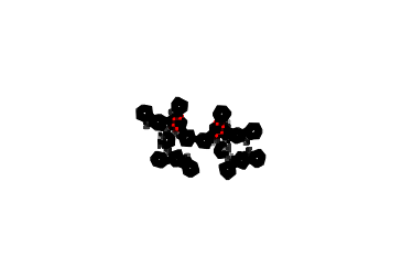 c1ccc2c(c1)sc1cc3c(cc12)c1ccccc1n3-c1cc(-n2c3ccc(-c4ccc5c(c4)c4cc6c(cc4n5-c4ccc(-n5c7ccccc7c7cc8c(cc75)sc5ccccc58)nc4-n4c5ccccc5c5cc7c(cc54)sc4ccccc47)sc4ccccc46)cc3c3cc4c(cc32)sc2ccccc24)c(-n2c3ccccc3c3cc4c(cc32)sc2ccccc24)nn1